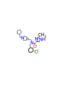 Cc1nc(C(=O)N(Cc2cccc(Cl)c2)CC2C3CN(CC4CCCC4)CC32)c[nH]1